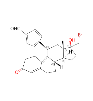 C[C@]12C[C@H](c3ccc(C=O)cc3)C3=C4CCC(=O)C=C4CC[C@H]3[C@@H]1CC[C@@]2(O)CBr